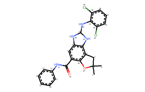 CC1(C)Cc2c3c(cc(C(=O)Nc4ccccc4)c2O1)NC(Nc1c(Cl)cccc1Cl)N3